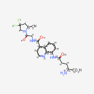 N#C[C@@H]1CC(F)(F)CN1C(=O)CNC(=O)c1ccnc2c(NC(=O)CC[C@H](N)C(=O)O)cccc12